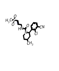 CC1CCN(C(=O)NC/C=C/S(C)(=O)=O)C(c2cccc(C#N)c2Cl)C1